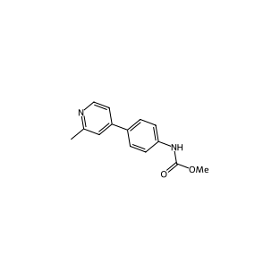 COC(=O)Nc1ccc(-c2ccnc(C)c2)cc1